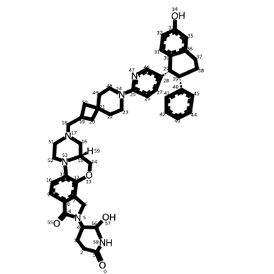 O=C1CCC(N2Cc3c(ccc4c3OC[C@H]3CN(CC5CC6(CCN(c7ccc([C@@H]8c9ccc(O)cc9CC[C@@H]8c8ccccc8)cn7)CC6)C5)CCN43)C2=O)C(O)N1